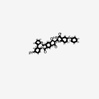 CC(C)c1ccc(N2C(=O)c3cc4c(cc3C2=O)C(=O)C(c2nc3ccc(Sc5ccccc5)cc3c(=O)[nH]2)C4=O)c(C2=CC=CC2)c1